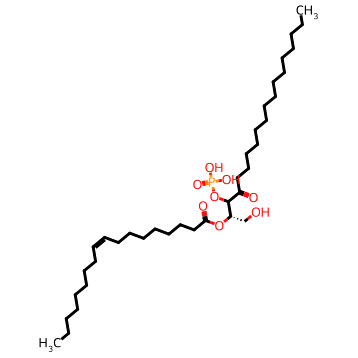 CCCCCCCC/C=C\CCCCCCCC(=O)O[C@@H](CO)C(OP(=O)(O)O)C(=O)CCCCCCCCCCCCCCC